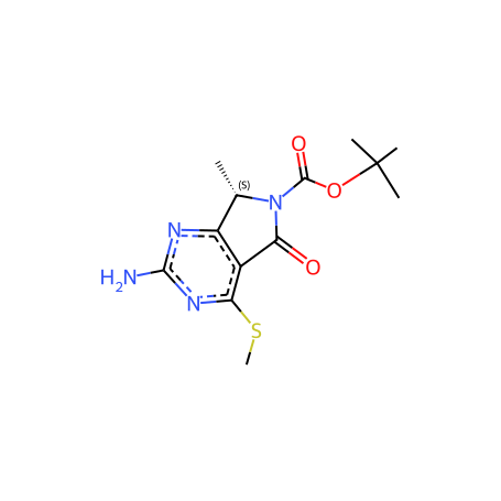 CSc1nc(N)nc2c1C(=O)N(C(=O)OC(C)(C)C)[C@H]2C